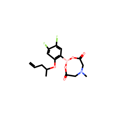 C=CCC(C)Oc1cc(F)c(F)cc1B1OC(=O)CN(C)CC(=O)O1